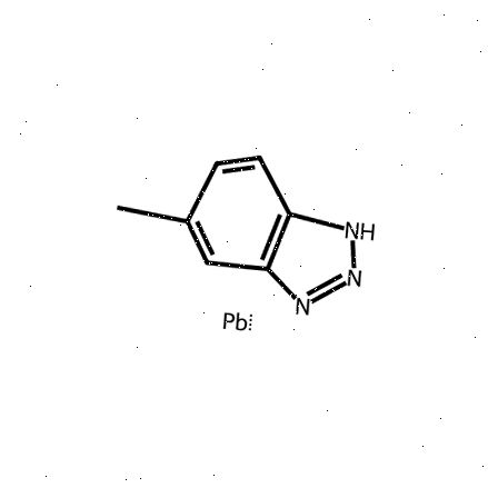 Cc1ccc2[nH]nnc2c1.[Pb]